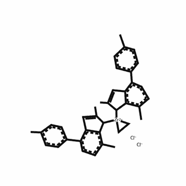 CC1=Cc2c(-c3ccc(C)cc3)ccc(C)c2[CH]1[Zr+2]1([CH]2C(C)=Cc3c(-c4ccc(C)cc4)ccc(C)c32)[CH2][CH2]1.[Cl-].[Cl-]